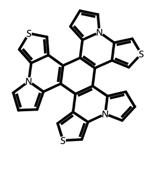 c1cc2c3c(c4cscc4n2c1)c1c(c2cscc2n2cccc12)c1c3c2cscc2n2cccc12